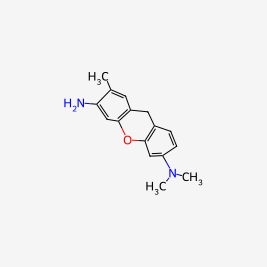 Cc1cc2c(cc1N)Oc1cc(N(C)C)ccc1C2